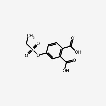 CCS(=O)(=O)Oc1ccc(C(=O)O)c(C(=O)O)c1